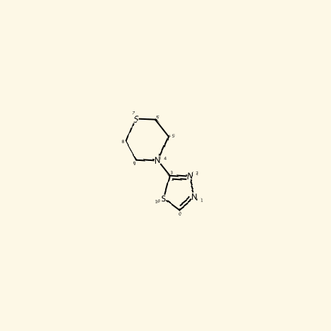 c1nnc(N2CCSCC2)s1